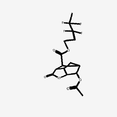 CC(=O)OC1C2CC3C1OC(=O)C3C2C(=O)OCCC(F)(F)C(C)(F)F